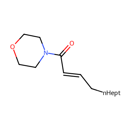 CCCCCCCCC=CC(=O)N1CCOCC1